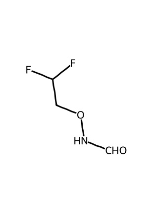 O=CNOCC(F)F